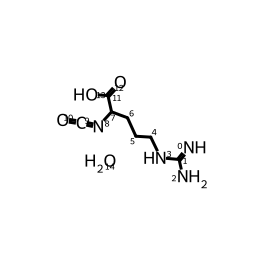 N=C(N)NCCCC(N=C=O)C(=O)O.O